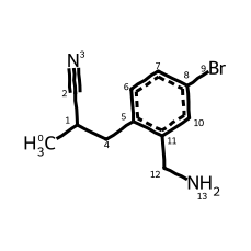 CC(C#N)Cc1ccc(Br)cc1CN